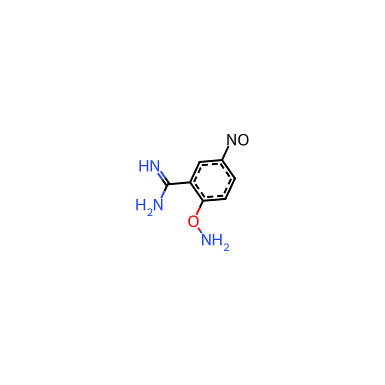 N=C(N)c1cc(N=O)ccc1ON